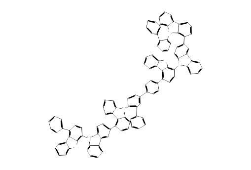 c1ccc(-c2cc(-c3ccc(-c4ccc(-n5c6ccccc6c6cc(-c7cccc8c9ccccc9n(-c9ccccc9-c9ccccc9)c78)ccc65)c5sc6ccccc6c45)cc3)ccc2-n2c3ccccc3c3c(-c4ccc5c(c4)c4ccccc4n5-c4ccc(-c5ccccc5)c5c4oc4ccccc45)cccc32)cc1